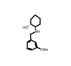 COc1cccc(CN[C@@H]2CCCC[C@H]2O)c1